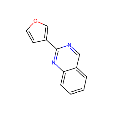 c1ccc2nc(-c3ccoc3)ncc2c1